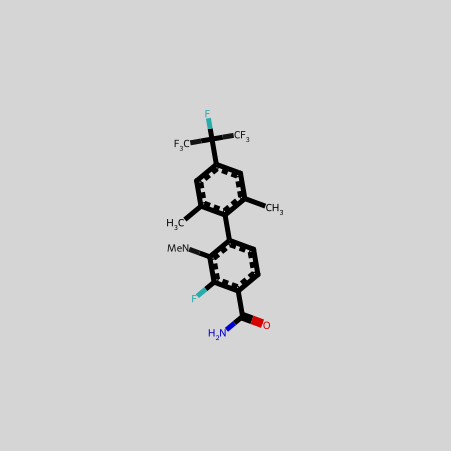 CNc1c(-c2c(C)cc(C(F)(C(F)(F)F)C(F)(F)F)cc2C)ccc(C(N)=O)c1F